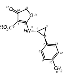 CCOC(=O)C1=C(N[C@@H]2C[C@H]2c2ccc(C)cc2)OCC1=O